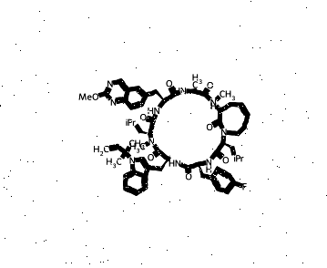 C=CC(C)(C)n1cc(C[C@@H]2NC(=O)[C@H](Cc3ccc(F)cc3)NC(=O)[C@H](CC(C)C)N3CC/C=C\C[C@@H](C3=O)N(C)C(=O)[C@H](C)NC(=O)[C@H](Cc3ccc4nc(OC)ncc4c3)NC(=O)[C@H](CC(C)C)N(C)C2=O)c2ccccc21